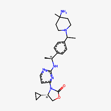 CC(c1ccc([C@H](C)Nc2nccc(N3C(=O)OC[C@@H]3C3CC3)n2)cc1)N1CCC(C)(N)CC1